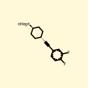 CCCCCCC[C@H]1CC[C@H](C#Cc2ccc(F)c(F)c2)CC1